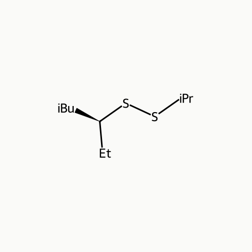 CCC(C)[C@H](CC)SSC(C)C